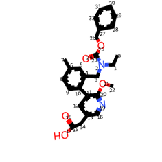 CCN(Cc1cc(C)ccc1-c1cc(CC(=O)O)cnc1OC)C(=O)OCc1ccccc1